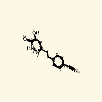 N#Cc1ccc(CCc2cc(O)c(=O)[nH]n2)cc1